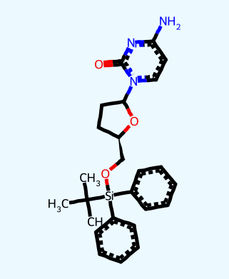 CC(C)(C)[Si](OC[C@H]1CCC(n2ccc(N)nc2=O)O1)(c1ccccc1)c1ccccc1